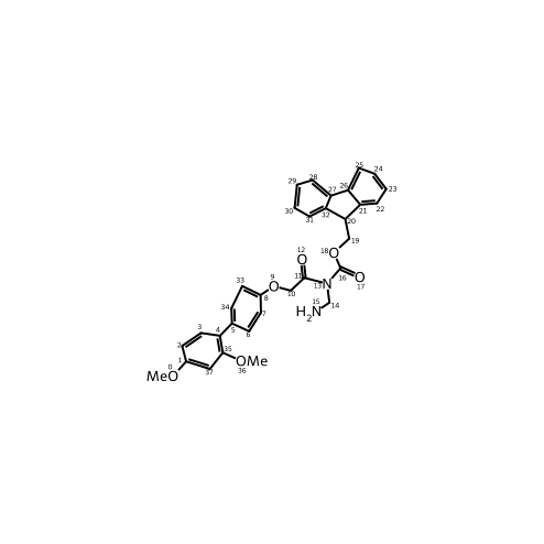 COc1ccc(-c2ccc(OCC(=O)N(CN)C(=O)OCC3c4ccccc4-c4ccccc43)cc2)c(OC)c1